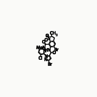 CNC(=O)c1c(NC(=O)c2cc(Br)nn2-c2ncccc2Cl)c(Br)cc2c1S(=O)(=O)C(C)C2